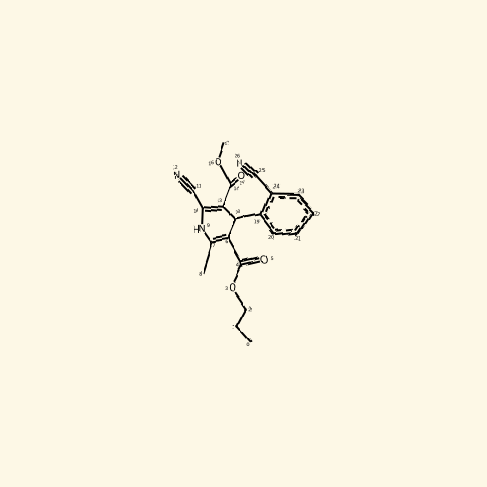 CCCOC(=O)C1=C(C)NC(C#N)=C(C(=O)OC)C1c1ccccc1C#N